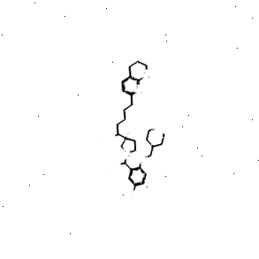 CC(CCCCc1ccc2c(n1)NCCC2)[C@]1(I)CCN(C(C(=O)O)c2cc(F)ccc2OCC2CCOCC2)C1